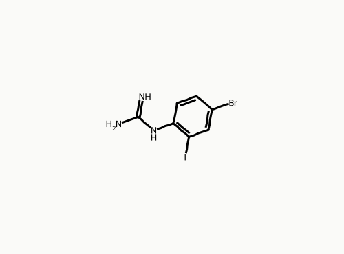 N=C(N)Nc1ccc(Br)cc1I